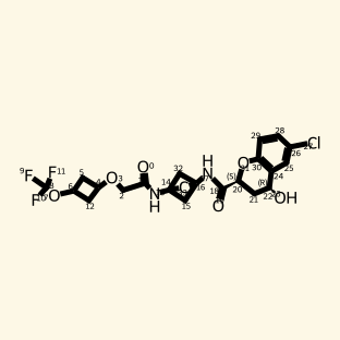 O=C(COC1CC(OC(F)(F)F)C1)NC12CC(NC(=O)[C@@H]3C[C@@H](O)c4cc(Cl)ccc4O3)(C1)C2